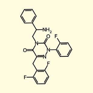 NC(Cn1c(=O)c(Cc2c(F)cccc2F)nn(-c2ccccc2F)c1=O)c1ccccc1